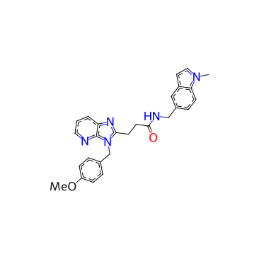 COc1ccc(Cn2c(CCC(=O)NCc3ccc4c(ccn4C)c3)nc3cccnc32)cc1